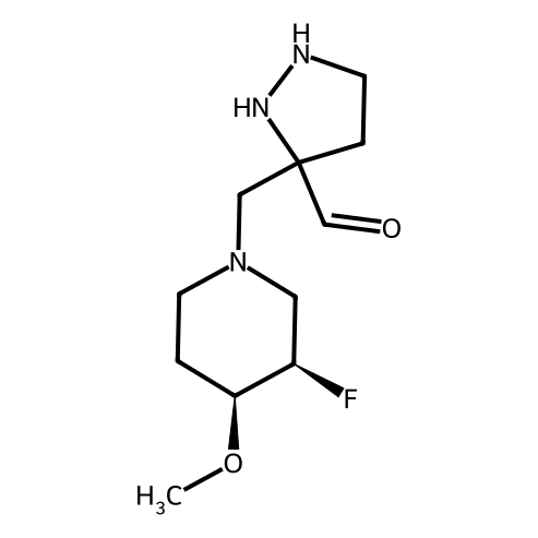 CO[C@H]1CCN(CC2(C=O)CCNN2)C[C@H]1F